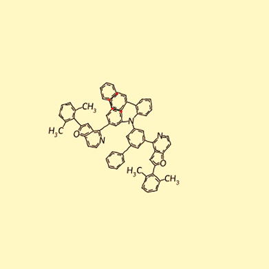 Cc1cccc(C)c1-c1cc2c(-c3cc(-c4ccccc4)cc(N(c4cc(-c5ccccc5)cc(-c5nccc6oc(-c7c(C)cccc7C)cc56)c4)c4ccccc4-c4ccccc4)c3)nccc2o1